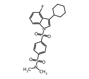 CN(C)S(=O)(=O)c1ccc(S(=O)(=O)n2cc(C3CCCCC3)c3c(F)cccc32)cc1